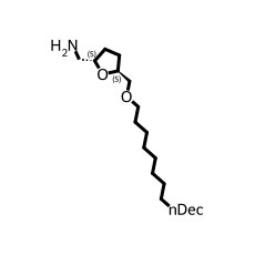 CCCCCCCCCCCCCCCCCCOC[C@@H]1CC[C@@H](CN)O1